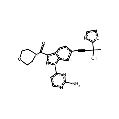 CC(O)(C#Cc1ccc2c(C(=O)N3CCOCC3)nn(-c3ccnc(N)n3)c2c1)c1ncco1